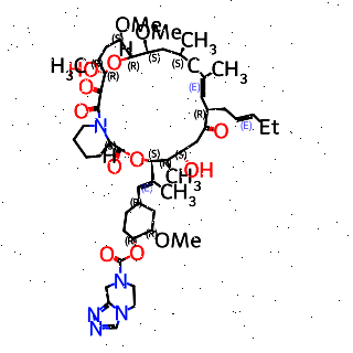 CC/C=C/C[C@@H]1/C=C(\C)C[C@H](C)C[C@H](OC)[C@H]2O[C@@](O)(C(=O)C(=O)N3CCCC[C@H]3C(=O)O[C@H](/C(C)=C/[C@@H]3CC[C@@H](OC(=O)N4CCn5cnnc5C4)[C@H](OC)C3)[C@H](C)[C@@H](O)CC1=O)[C@H](C)C[C@@H]2OC